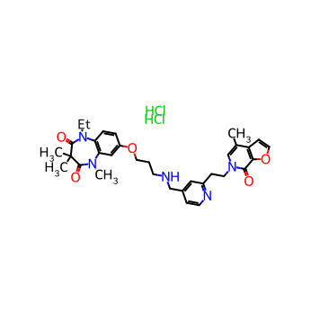 CCN1C(=O)C(C)(C)C(=O)N(C)c2cc(OCCCNCc3ccnc(CCn4cc(C)c5ccoc5c4=O)c3)ccc21.Cl.Cl